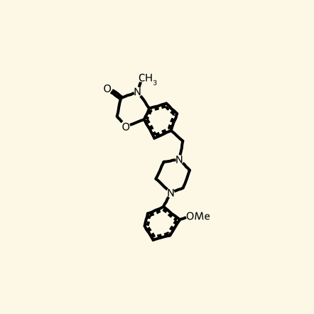 COc1ccccc1N1CCN(Cc2ccc3c(c2)OCC(=O)N3C)CC1